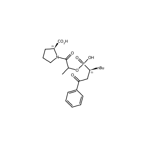 CCCC[C@@H](CC(=O)c1ccccc1)P(=O)(O)OC(C)C(=O)N1CCC[C@H]1C(=O)O